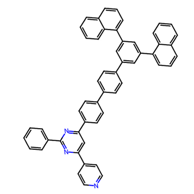 c1ccc(-c2nc(-c3ccncc3)cc(-c3ccc(-c4ccc(-c5cc(-c6cccc7ccccc67)cc(-c6cccc7ccccc67)c5)cc4)cc3)n2)cc1